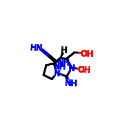 N=C1N[C@H]2C(CO)N(O)C(=N)N3CCCC23N1